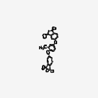 Cc1cc(Oc2ccc3c(c2)C(=O)CC3=O)ccc1Oc1ccc2c(c1)C(=O)OC2=O